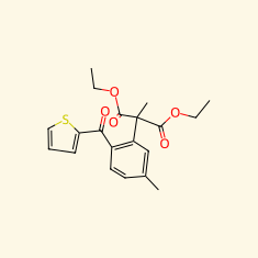 CCOC(=O)C(C)(C(=O)OCC)c1cc(C)ccc1C(=O)c1cccs1